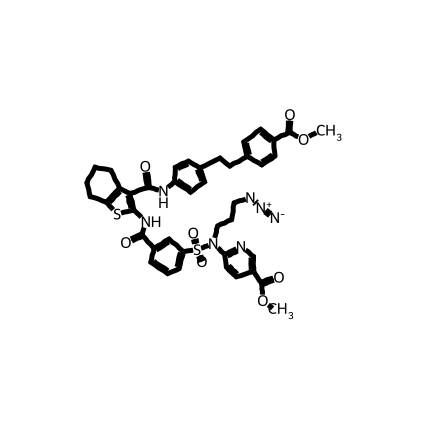 COC(=O)c1ccc(CCc2ccc(NC(=O)c3c(NC(=O)c4cccc(S(=O)(=O)N(CCCN=[N+]=[N-])c5ccc(C(=O)OC)cn5)c4)sc4c3CCCC4)cc2)cc1